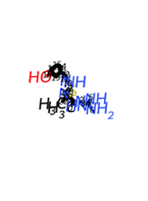 CC(=NNC(=N)N)c1sc(NN=Cc2cccc(O)c2)nc1C